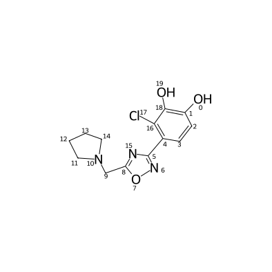 Oc1ccc(-c2noc(CN3CCCC3)n2)c(Cl)c1O